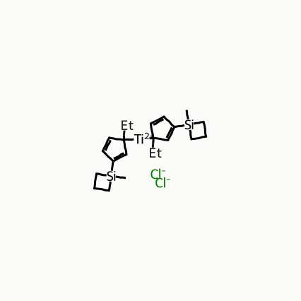 CC[C]1([Ti+2][C]2(CC)C=CC([Si]3(C)CCC3)=C2)C=CC([Si]2(C)CCC2)=C1.[Cl-].[Cl-]